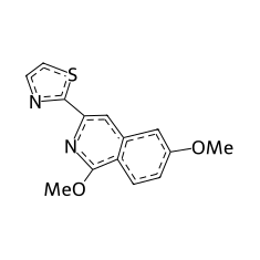 COc1ccc2c(OC)nc(-c3nccs3)cc2c1